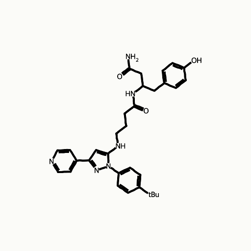 CC(C)(C)c1ccc(-n2nc(-c3ccncc3)cc2NCCCC(=O)NC(CC(N)=O)Cc2ccc(O)cc2)cc1